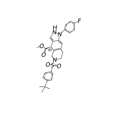 COC(=O)[C@H]1C2=CNN(c3ccc(F)cc3)C2=CC2=C1CN(S(=O)(=O)c1ccc(C(C)(C)C)cc1)CC2